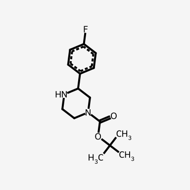 CC(C)(C)OC(=O)N1CCNC(c2ccc(F)cc2)C1